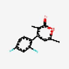 Cc1cc(-c2ccc(F)cc2F)c(C)c(=O)o1